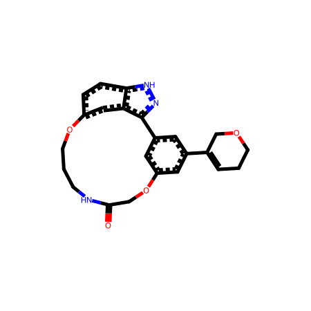 O=C1COc2cc(C3=CCCOC3)cc(c2)-c2n[nH]c3ccc(cc23)OCCCN1